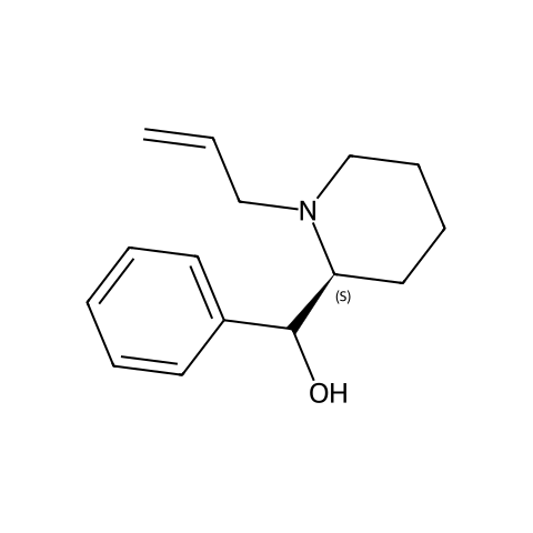 C=CCN1CCCC[C@H]1C(O)c1ccccc1